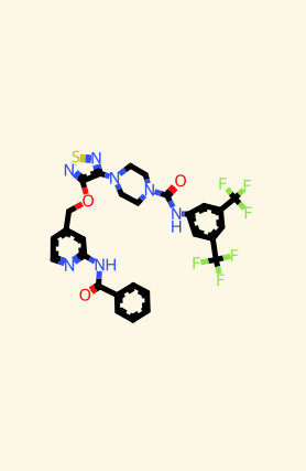 O=C(Nc1cc(COc2nsnc2N2CCN(C(=O)Nc3cc(C(F)(F)F)cc(C(F)(F)F)c3)CC2)ccn1)c1ccccc1